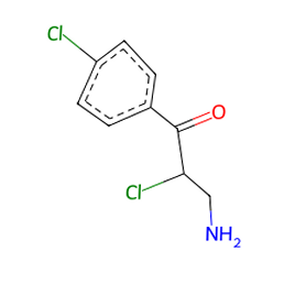 NCC(Cl)C(=O)c1ccc(Cl)cc1